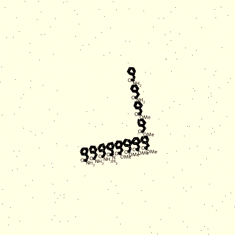 COC(=O)Cc1ccccc1.COC(=O)Cc1ccccc1.COC(=O)Cc1ccccc1.COC(=O)Cc1ccccc1.COC(=O)Cc1ccccc1.COC(=O)Cc1ccccc1.NC(=O)Cc1ccccc1.NC(=O)Cc1ccccc1.NC(=O)Cc1ccccc1.NC(=O)Cc1ccccc1.NC(=O)Cc1ccccc1.NC(=O)Cc1ccccc1